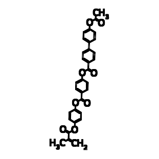 C=C(C)C(=O)Oc1ccc(OC(=O)c2ccc(OC(=O)c3ccc(-c4ccc(OC(C)=O)cc4)cc3)cc2)cc1